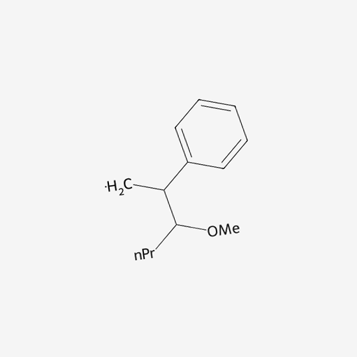 [CH2]C(c1ccccc1)C(CCC)OC